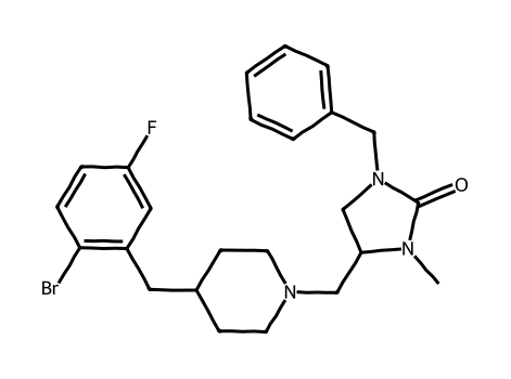 CN1C(=O)N(Cc2ccccc2)CC1CN1CCC(Cc2cc(F)ccc2Br)CC1